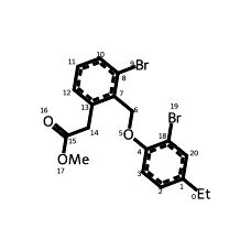 CCc1ccc(OCc2c(Br)cccc2CC(=O)OC)c(Br)c1